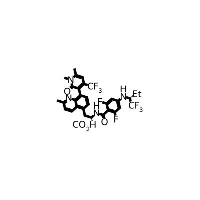 CC[C@@H](Nc1cc(F)c(C(=O)N[C@@H](Cc2ccc(-c3c(C(F)(F)F)cc(C)n(C)c3=O)c3nc(C)ccc23)C(=O)O)c(F)c1)C(F)(F)F